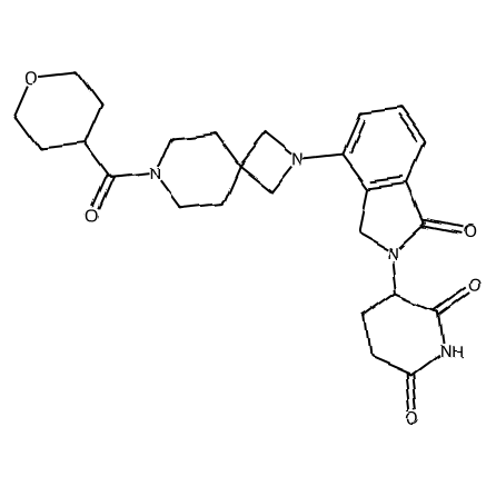 O=C1CCC(N2Cc3c(cccc3N3CC4(CCN(C(=O)C5CCOCC5)CC4)C3)C2=O)C(=O)N1